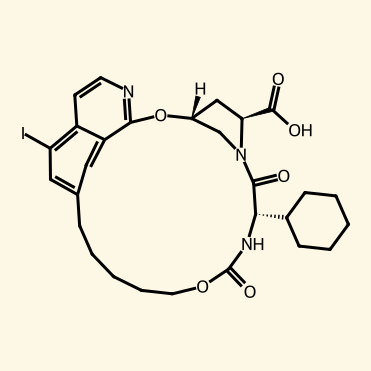 O=C1N[C@@H](C2CCCCC2)C(=O)N2C[C@@H](C[C@H]2C(=O)O)Oc2nccc3c(I)cc(cc23)CCCCCO1